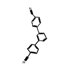 N#Cc1ccc(-c2cccc(-c3ccc(C#N)cc3)c2)cc1